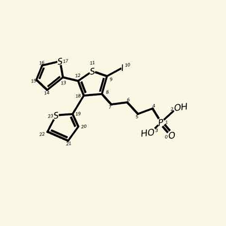 O=P(O)(O)CCCCc1c(I)sc(-c2cccs2)c1-c1cccs1